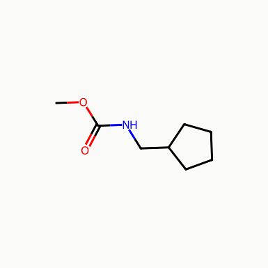 COC(=O)NCC1CCCC1